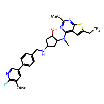 COc1nc(N(C)C2CC(NCc3ccc(-c4cnc(F)c(OC)c4)cc3)CC2O)c2cc(CC(F)(F)F)sc2n1